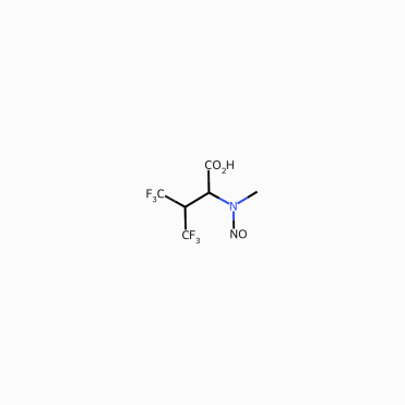 CN(N=O)C(C(=O)O)C(C(F)(F)F)C(F)(F)F